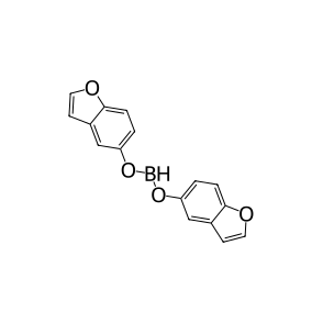 B(Oc1ccc2occc2c1)Oc1ccc2occc2c1